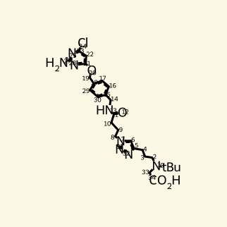 CC(C)(C)N(CCCc1cn(CCCC(=O)NCc2ccc(COc3cc(Cl)nc(N)n3)cc2)nn1)CC(=O)O